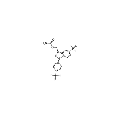 CP(C)(=O)c1ccc2c(c1)c(COC(N)=O)nn2-c1ccc(C(F)(F)F)cc1